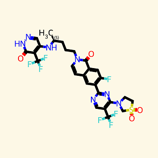 C[C@@H](CCCn1ccc2cc(-c3ncc(C(F)(F)F)c(N4CCS(=O)(=O)C4)n3)c(F)cc2c1=O)Nc1cn[nH]c(=O)c1C(F)(F)F